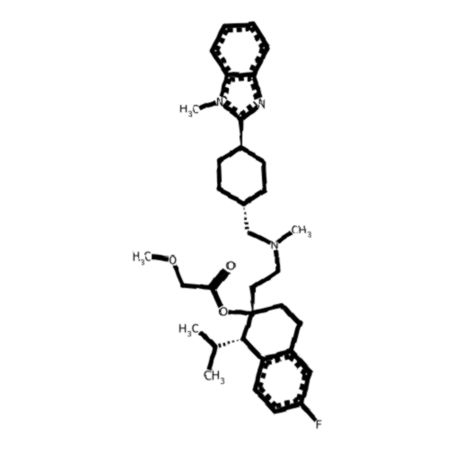 COCC(=O)O[C@]1(CCN(C)C[C@H]2CC[C@H](c3nc4ccccc4n3C)CC2)CCc2cc(F)ccc2[C@@H]1C(C)C